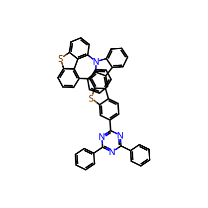 c1ccc(-c2nc(-c3ccccc3)nc(-c3ccc4c(c3)sc3c(-c5cccc6sc7cccc(-n8c9ccccc9c9ccccc98)c7c56)cccc34)n2)cc1